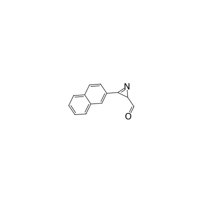 O=CC1N=C1c1ccc2ccccc2c1